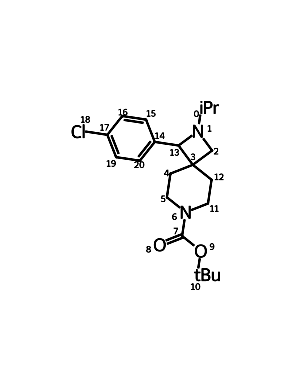 CC(C)N1CC2(CCN(C(=O)OC(C)(C)C)CC2)C1c1ccc(Cl)cc1